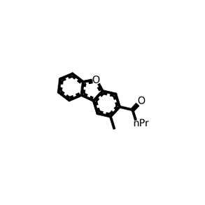 CCCC(=O)c1cc2oc3ccccc3c2cc1C